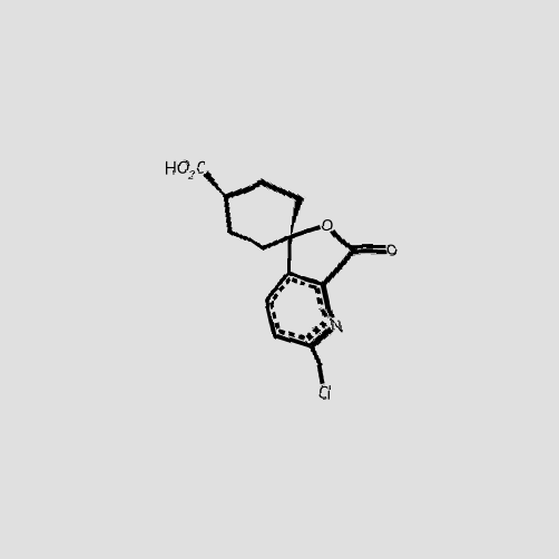 O=C1O[C@]2(CC[C@H](C(=O)O)CC2)c2ccc(Cl)nc21